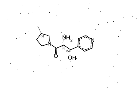 C[C@H]1CCN(C(=O)[C@H](N)[C@@H](O)c2ccncc2)C1